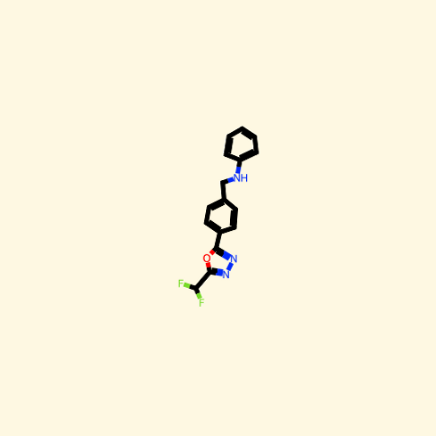 FC(F)c1nnc(-c2ccc(CNc3ccccc3)cc2)o1